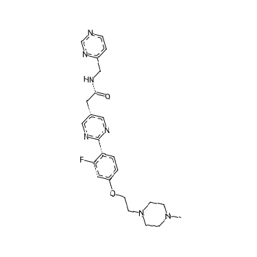 CN1CCN(CCOc2ccc(-c3ncc(CC(=O)NCc4ccncn4)cn3)c(F)c2)CC1